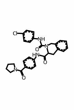 O=C(Nc1ccc(C(=O)N2CCCC2)cc1)C1Cc2ccccc2CN1C(=O)Nc1ccc(Cl)cc1